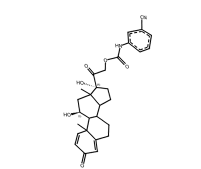 CC12C=CC(=O)C=C1CCC1C2[C@@H](O)CC2(C)C1CC[C@]2(O)C(=O)COC(=O)Nc1cccc(C#N)c1